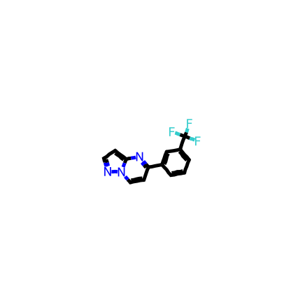 FC(F)(F)c1cccc(-c2ccn3nccc3n2)c1